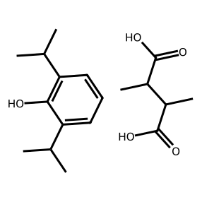 CC(C(=O)O)C(C)C(=O)O.CC(C)c1cccc(C(C)C)c1O